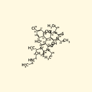 CCNCC.CCn1c(O)c(C(c2ccc(Cl)cc2Cl)c2c(O)n(CC)c(=S)n(CC)c2=O)c(=O)n(CC)c1=S